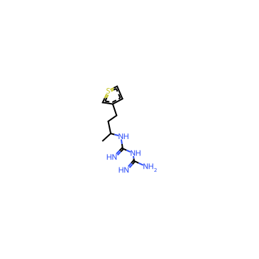 CC(CCc1ccsc1)NC(=N)NC(=N)N